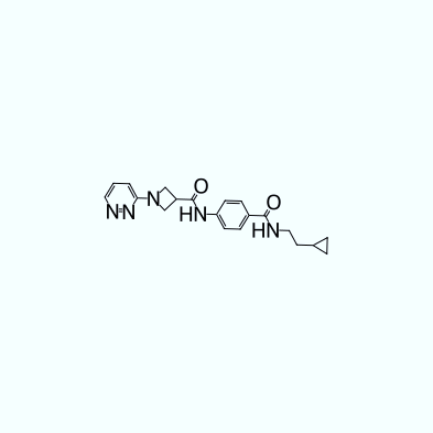 O=C(NCCC1CC1)c1ccc(NC(=O)C2CN(c3cccnn3)C2)cc1